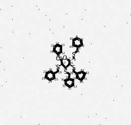 c1ccc(CSC[C@H]2OC(Oc3ccccc3)[C@H](SCc3ccccc3)[C@@H](SCc3ccccc3)[C@@H]2SCc2ccccc2)cc1